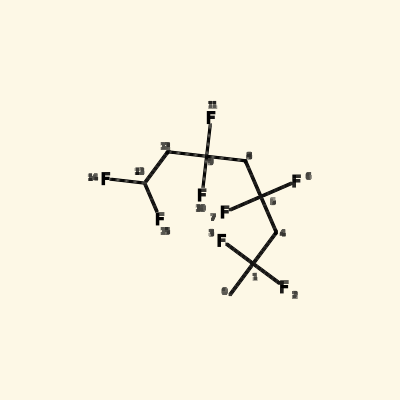 CC(F)(F)CC(F)(F)CC(F)(F)CC(F)F